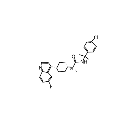 C[C@@H](C(=O)NC(C)(C)c1ccc(Cl)cc1)[C@H]1CC[C@@H](c2ccnc3ccc(F)cc32)CC1